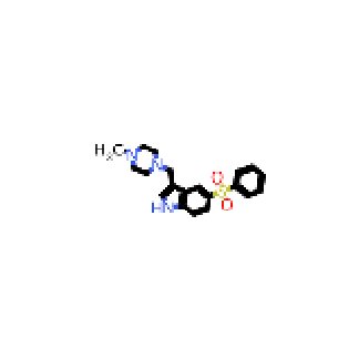 CN1CCN(Cc2c[nH]c3ccc(S(=O)(=O)c4ccccc4)cc23)CC1